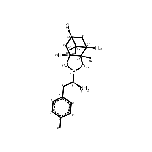 Cc1ccc(C[C@H](N)B2O[C@@H]3C[C@@H]4C[C@@H](C4(C)C)[C@]3(C)O2)cc1